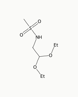 CCOC(CNS(C)(=O)=O)OCC